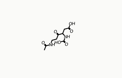 CC(=O)NCCC(=O)C(CC(=O)O)NC(=O)O